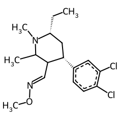 CC[C@@H]1C[C@H](c2ccc(Cl)c(Cl)c2)C(/C=N/OC)C(C)N1C